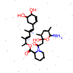 CC(=C\C1C=CC(O)C(O)C1)/C=C(\C)C(C)OC(=O)C1CCCCN1C(=O)CC1(O)OC(N)C(C)CC1C